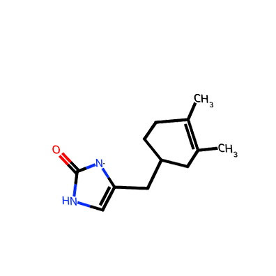 CC1=C(C)CC(CC2=CNC(=O)[N]2)CC1